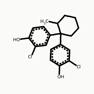 CC1CCCCC1(c1ccc(O)c(Cl)c1)c1ccc(O)c(Cl)c1